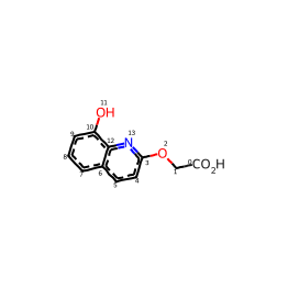 O=C(O)COc1ccc2cccc(O)c2n1